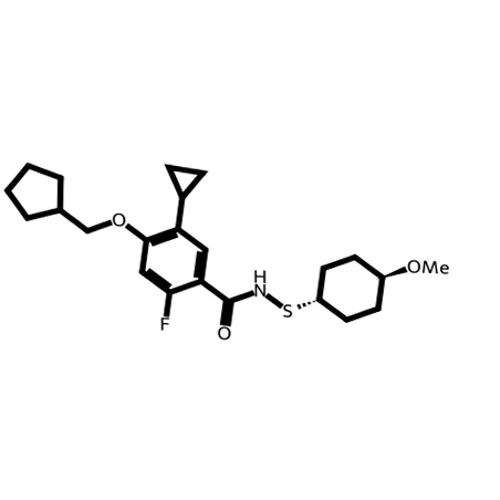 CO[C@H]1CC[C@H](SNC(=O)c2cc(C3CC3)c(OCC3CCCC3)cc2F)CC1